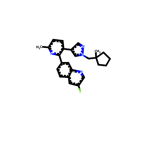 Cc1ccc(-c2cnn(CC3(C)CCCC3)c2)c(-c2ccc3cc(F)cnc3c2)n1